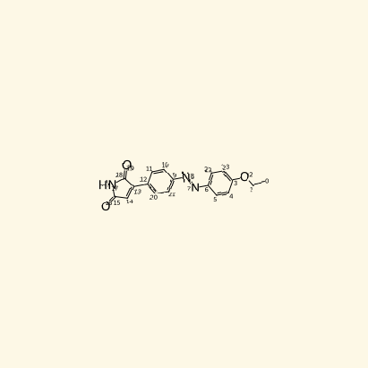 CCOc1ccc(N=Nc2ccc(C3=CC(=O)NC3=O)cc2)cc1